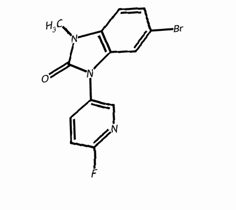 Cn1c(=O)n(-c2ccc(F)nc2)c2cc(Br)ccc21